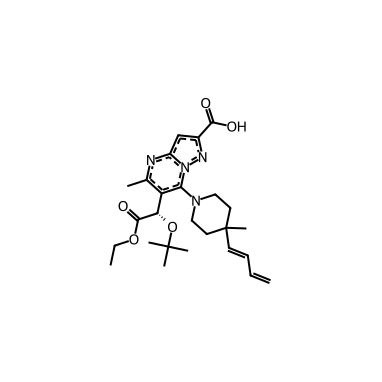 C=C/C=C/C1(C)CCN(c2c([C@H](OC(C)(C)C)C(=O)OCC)c(C)nc3cc(C(=O)O)nn23)CC1